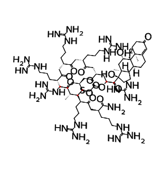 C[C@@H](CSCC(=O)OCC(=O)[C@@]1(O)CC[C@H]2[C@@H]3CCC4=CC(=O)CC[C@]4(C)[C@H]3[C@@H](O)C[C@@]21C)C(=O)C[C@H](CCCNC(=N)N)C(=O)C[C@H](CCCNC(=N)N)C(=O)C[C@H](CCCNC(=N)N)C(=O)C[C@H](CCCNC(=N)N)C(=O)C[C@H](CCCNC(=N)N)C(=O)C[C@H](CCCNC(=N)N)C(=O)C[C@H](CCCNC(=N)N)C(N)=O